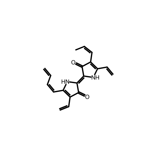 C=C/C=C\C1=C(C=C)C(=O)/C(=C2\NC(C=C)=C(/C=C\C)C2=O)N1